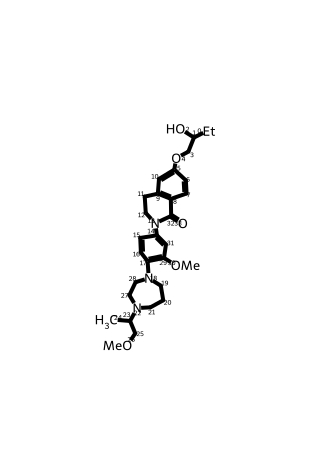 CCC(O)COc1ccc2c(c1)CCN(c1ccc(N3CCCN(C(C)COC)CC3)c(OC)c1)C2=O